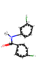 CN(C(=O)c1ccc(F)cc1)c1cccc(Br)c1